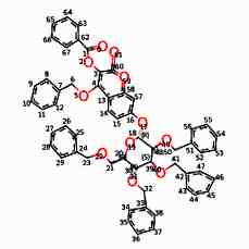 O=C(Oc1c(OCc2ccccc2)c2ccc(O[C@H]3O[C@H](COCc4ccccc4)[C@@H](OCc4ccccc4)[C@H](OCc4ccccc4)[C@@H]3OCc3ccccc3)cc2oc1=O)c1ccccc1